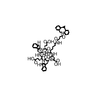 NC(=O)[C@H](CCC(=O)O)NC(=O)[C@H](Cc1c[nH]c2ccccc12)NC(=O)[C@H](CCC(=O)O)NC(=O)[C@H](Cc1c[nH]c2ccccc12)NC(=O)[C@H](CCC(=O)O)NC(=O)CCCCCNC(=O)CCC(=O)N1Cc2ccccc2C2=C(C2)c2ccccc21